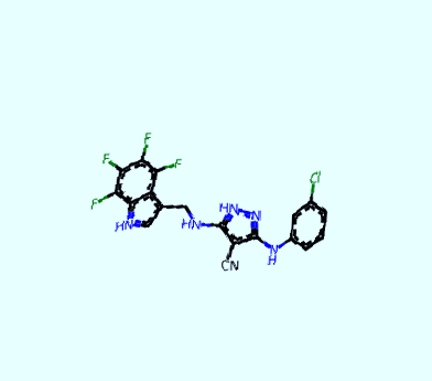 N#Cc1c(Nc2cccc(Cl)c2)n[nH]c1NCc1c[nH]c2c(F)c(F)c(F)c(F)c12